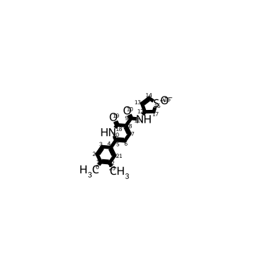 Cc1ccc(-c2ccc(C(=O)NC3C=C[S+]([O-])C3)c(=O)[nH]2)cc1C